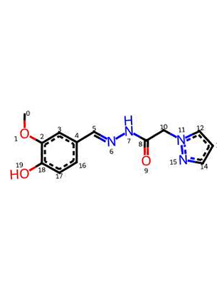 COc1cc(/C=N/NC(=O)Cn2cccn2)ccc1O